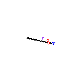 CCCCCCCCCCCCCCCC(=O)OCC[N+](C)(C)C.[I-]